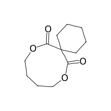 O=C1OCCCCOC(=O)C12CCCCC2